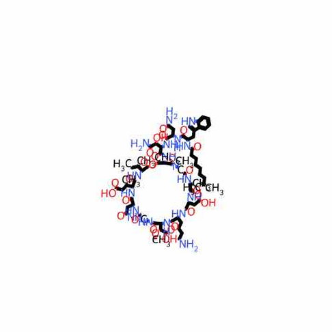 CCC(C)C1NC(=O)C(C(C)CC(=O)O)NC(=O)C(CC(N)=O)NC(=O)CNC(=O)C(C(OC)C(=O)O)NC(=O)C(CCCCN)NC(=O)C(CC(=O)O)NC(=O)C(C)NC(=O)CN(C)C(=O)C(NC(=O)C(NC(=O)C(CC(N)=O)NC(=O)C(Cc2c[nH]c3ccccc23)NC(=O)CCCCCCC(C)C)C(O)C(N)=O)C(C)OC1=O